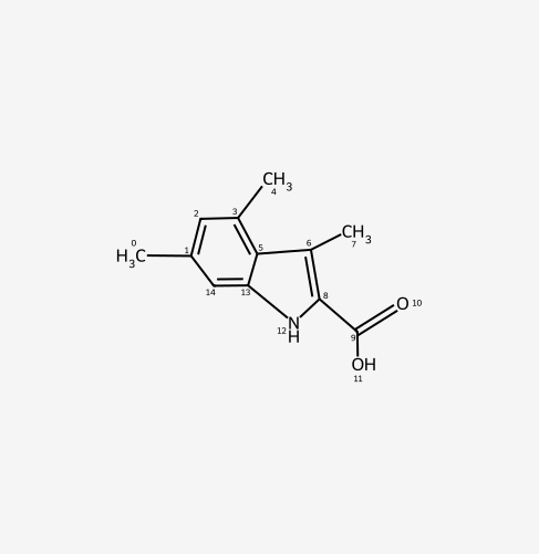 Cc1cc(C)c2c(C)c(C(=O)O)[nH]c2c1